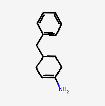 NC1=CCC(Cc2ccccc2)CC1